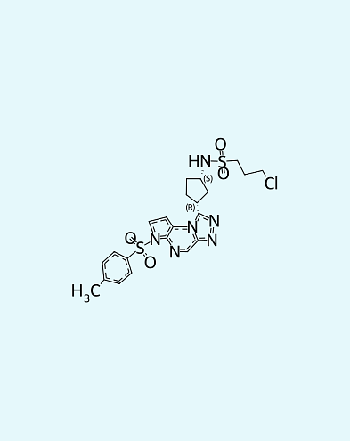 Cc1ccc(S(=O)(=O)n2ccc3c2ncc2nnc([C@@H]4CC[C@H](NS(=O)(=O)CCCCl)C4)n23)cc1